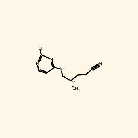 C[C@@H](CCC#N)CNc1ccnc(Cl)n1